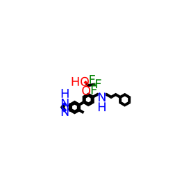 Cc1cc2nc[nH]c2cc1-c1ccc(CNCCCC2CCCCC2)cc1.O=C(O)C(F)(F)F